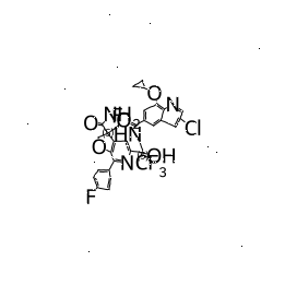 NC(=O)[C@@]1(CF)COc2c1cc([C@@](O)(CNC(=O)c1cc(OC3CC3)c3ncc(Cl)cc3c1)C(F)(F)F)nc2-c1ccc(F)cc1